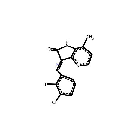 Cc1ccnc2c1NC(=O)/C2=C/c1cccc(Cl)c1F